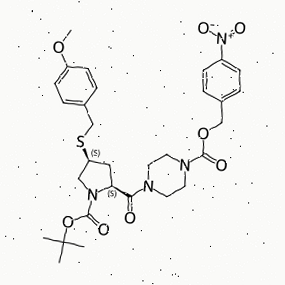 COc1ccc(CS[C@H]2C[C@@H](C(=O)N3CCN(C(=O)OCc4ccc([N+](=O)[O-])cc4)CC3)N(C(=O)OC(C)(C)C)C2)cc1